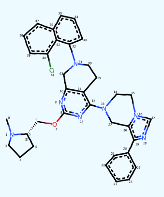 CN1CCC[C@H]1COc1nc2c(c(N3CCn4cnc(-c5ccccc5)c4C3)n1)CCN(c1cccc3cccc(Cl)c13)C2